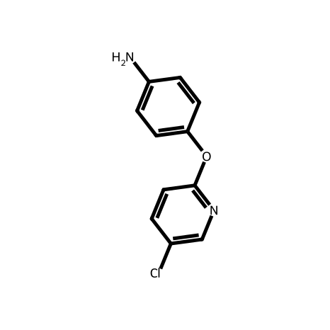 Nc1ccc(Oc2ccc(Cl)cn2)cc1